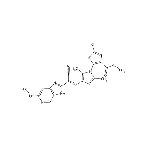 COC(=O)c1cc(Cl)sc1-n1c(C)cc(C=C(C#N)c2nc3cc(OC)ncc3[nH]2)c1C